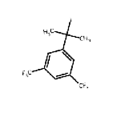 CC(C)(I)c1cc(C(F)(F)F)cc(C(F)(F)F)c1